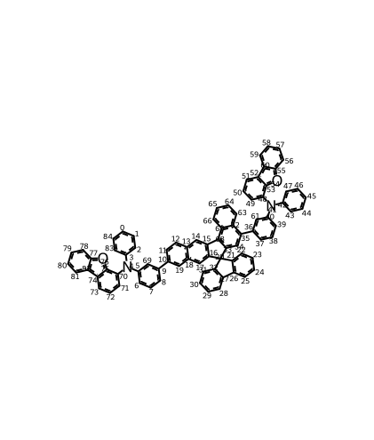 c1ccc(N(c2cccc(-c3ccc4cc5c(cc4c3)C3(c4ccccc4-c4ccccc43)c3cc(-c4cccc(N(c6ccccc6)c6cccc7c6oc6ccccc67)c4)c4ccccc4c3-5)c2)c2cccc3c2oc2ccccc23)cc1